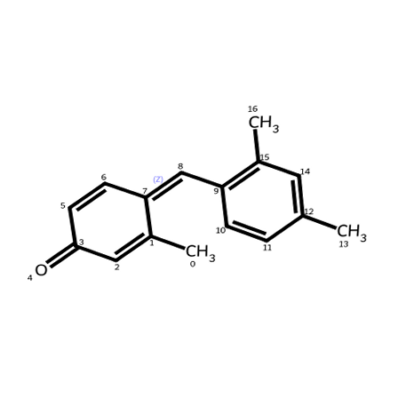 CC1=CC(=O)C=C/C1=C/c1ccc(C)cc1C